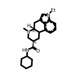 CCn1cc2c3c(cccc31)C1C[C@@H](C(=O)NC3CCCCC3)CN(C)[C@@H]1C2